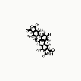 [2H]c1c([2H])c(-c2c([2H])c([2H])c3c(c2[2H])C(=O)NC3=O)c([2H])c(-c2c([2H])c([2H])c3c(c2[2H])C(=O)OC3=O)c1[2H]